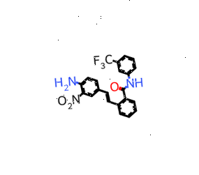 Nc1ccc(C=Cc2ccccc2C(=O)Nc2cccc(C(F)(F)F)c2)cc1[N+](=O)[O-]